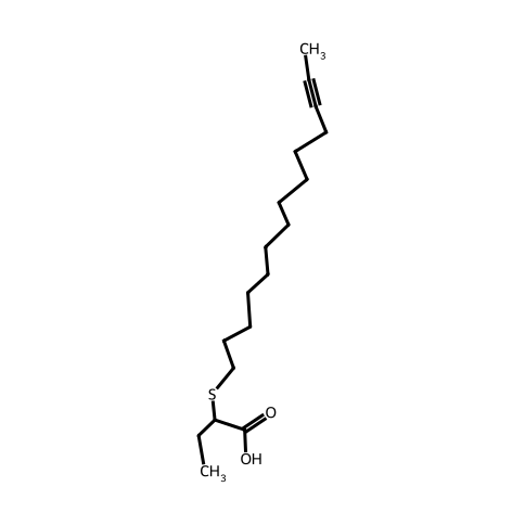 CC#CCCCCCCCCCCCSC(CC)C(=O)O